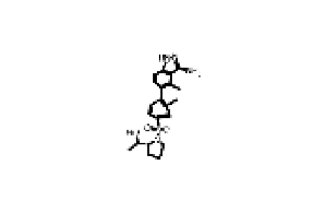 Cc1cc(S(=O)(=O)N2CCC[C@H]2C(C)O)ccc1-c1ccc2[nH]nc(N)c2c1C